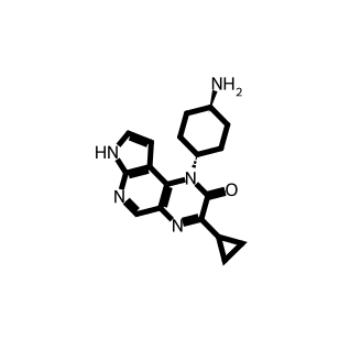 N[C@H]1CC[C@H](n2c(=O)c(C3CC3)nc3cnc4[nH]ccc4c32)CC1